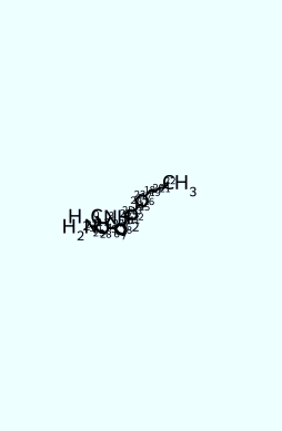 C=C1C(N)=C(c2cccc(C3CCC(C4CCC(CCCCC)CC4)CC3)c2)C=CC1N